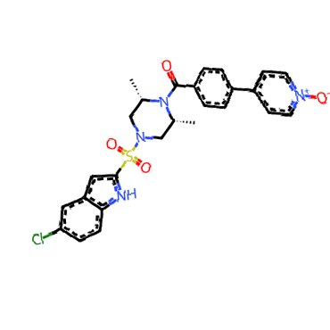 C[C@@H]1CN(S(=O)(=O)c2cc3cc(Cl)ccc3[nH]2)C[C@H](C)N1C(=O)c1ccc(-c2cc[n+]([O-])cc2)cc1